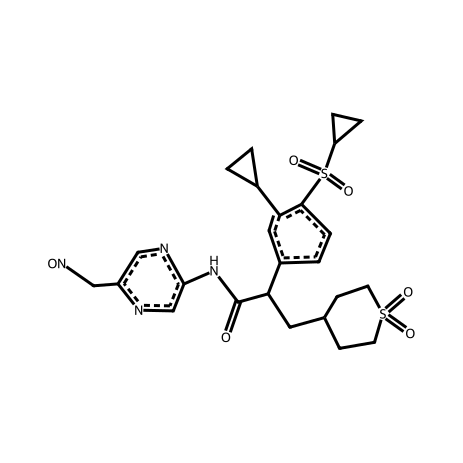 O=NCc1cnc(NC(=O)C(CC2CCS(=O)(=O)CC2)c2ccc(S(=O)(=O)C3CC3)c(C3CC3)c2)cn1